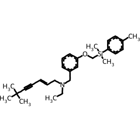 CCN(CC=CC#CC(C)(C)C)Cc1cccc(OC[Si](C)(C)c2ccc(C)cc2)c1